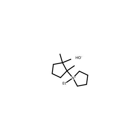 CC[N+]1(C2(C)CCCC2(C)C)CCCC1.[OH-]